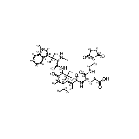 CN[C@H](C(=O)NC(C(=O)N(C)[C@H](/C=C(\C)C(=O)N[C@@H](CCC(=O)O)C(=O)NCCN1C(=O)C=CC1=O)C(C)C)C(C)(C)C)C(C)(C)c1cn(C)c2ccccc12